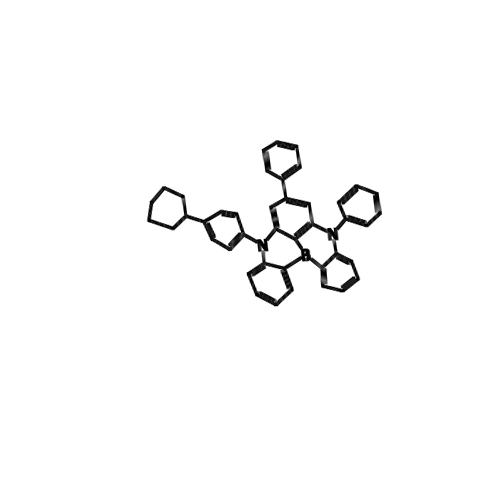 c1ccc(-c2cc3c4c(c2)N(c2ccc(C5CCCCC5)cc2)c2ccccc2B4c2ccccc2N3c2ccccc2)cc1